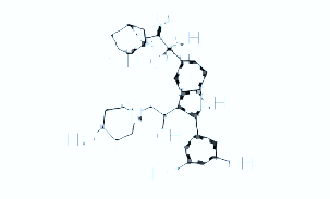 Cc1cc(C)cc(-c2[nH]c3ccc(C(C)(C)C(=O)N4C5CCC4CC5)cc3c2C(C)CN2CCC(O)CC2)c1